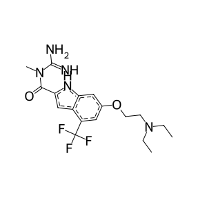 CCN(CC)CCOc1cc(C(F)(F)F)c2cc(C(=O)N(C)C(=N)N)[nH]c2c1